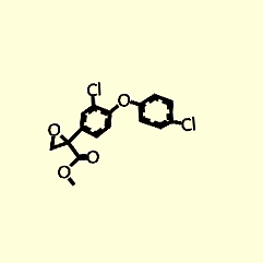 COC(=O)C1(c2ccc(Oc3ccc(Cl)cc3)c(Cl)c2)CO1